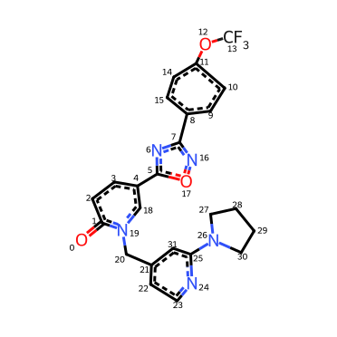 O=c1ccc(-c2nc(-c3ccc(OC(F)(F)F)cc3)no2)cn1Cc1ccnc(N2CCCC2)c1